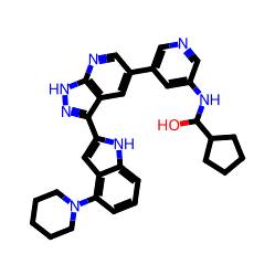 OC(Nc1cncc(-c2cnc3[nH]nc(-c4cc5c(N6CCCCC6)cccc5[nH]4)c3c2)c1)C1CCCC1